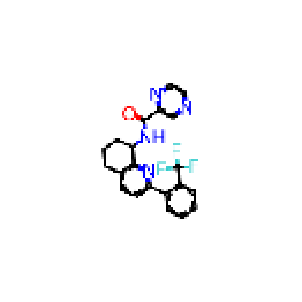 O=C(NC1CCCc2ccc(-c3ccccc3C(F)(F)F)nc21)c1cnccn1